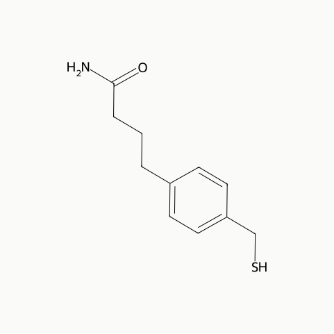 NC(=O)CCCc1ccc(CS)cc1